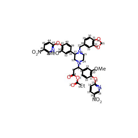 CCC(=O)OC(=O)CC(c1ccc(Oc2ccc([N+](=O)[O-])cn2)c(OC)c1)N1CCN(Cc2ccc3c(c2)OCO3)C(c2ccc(Oc3ccc([N+](=O)[O-])cn3)c(OC)c2)C1